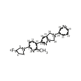 Cc1nc(N2CC[C@H](F)C2)ccc1-c1cc2n(n1)CN(c1cccnc1)C2